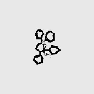 CC1(c2ccccc2)O[Si](c2ccccc2)(c2ccccc2)CCC1c1ccccc1